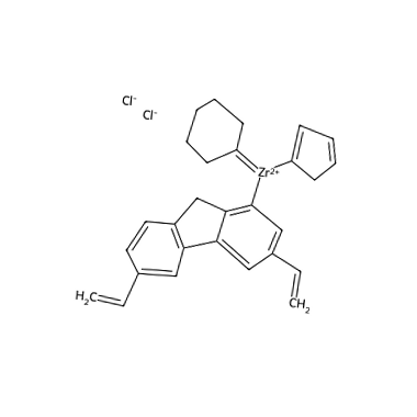 C=Cc1ccc2c(c1)-c1cc(C=C)c[c]([Zr+2]([C]3=CC=CC3)=[C]3CCCCC3)c1C2.[Cl-].[Cl-]